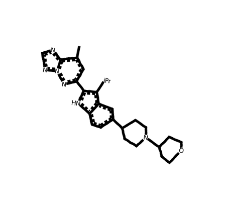 Cc1cc(-c2[nH]c3ccc(C4CCN(C5CCOCC5)CC4)cc3c2C(C)C)nn2ncnc12